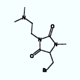 CN(C)CCN1C(=O)C(CBr)N(C)C1=O